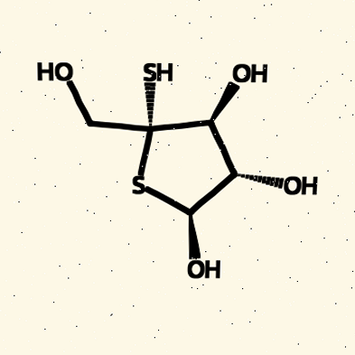 OC[C@]1(S)S[C@H](O)[C@@H](O)[C@@H]1O